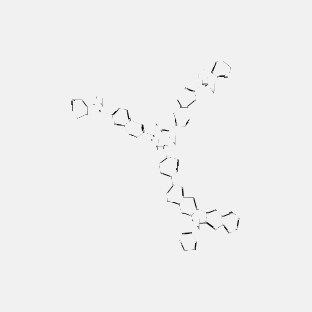 c1ccc(-n2c3cc4ccccc4cc3c3cc4cc(-c5ccc(-c6nc(-c7ccc8cc(-c9nc%10ccccc%10o9)ccc8c7)nc(-c7ccc8cc(-c9nc%10ccccc%10o9)ccc8c7)n6)cc5)ccc4cc32)cc1